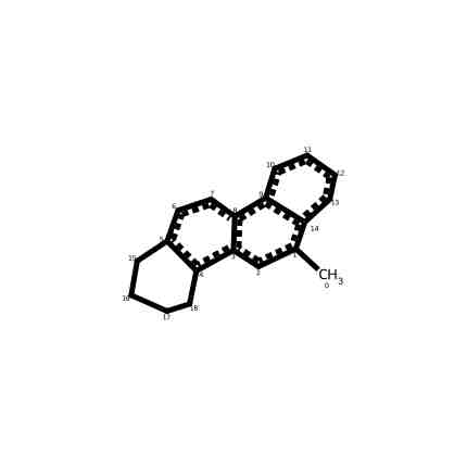 Cc1cc2c3c(ccc2c2ccccc12)CCCC3